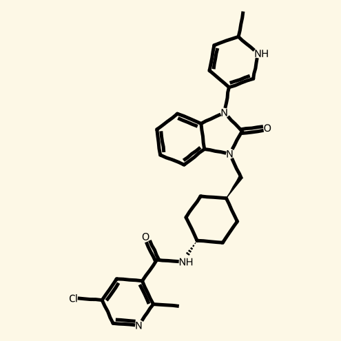 Cc1ncc(Cl)cc1C(=O)N[C@H]1CC[C@H](Cn2c(=O)n(C3=CNC(C)C=C3)c3ccccc32)CC1